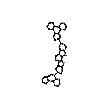 c1ccc2c(c1)cc(-c1ccc3oc4c(ccc5c6cc(-c7ccc8c9ccccc9c9ccccc9c8c7)ccc6oc54)c3c1)c1ccccc12